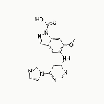 COc1cc2c(cnn2C(=O)O)cc1Nc1cc(-n2ccnc2)ncn1